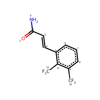 NC(=O)C=Cc1cccc(C(F)(F)F)c1C(F)(F)F